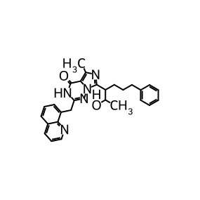 Cc1nc(C(CCCc2ccccc2)C(C)O)n2nc(Cc3cccc4cccnc34)[nH]c(=O)c12